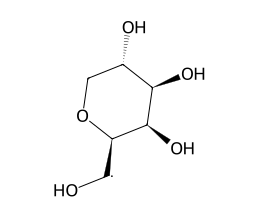 O[CH][C@H]1OC[C@H](O)[C@@H](O)[C@H]1O